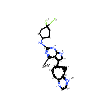 COc1nc(NC2CCC(F)(F)CC2)nc2[nH]cc(-c3ccc4nccnc4c3)c12